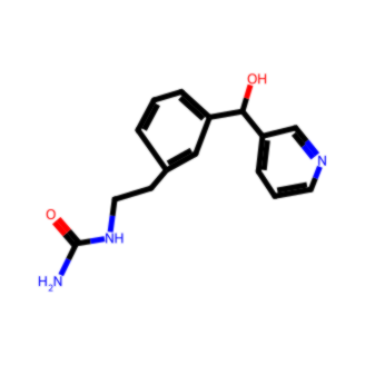 NC(=O)NCCc1cccc(C(O)c2cccnc2)c1